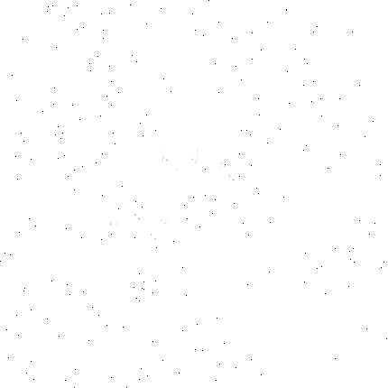 CSC(C)(C)c1cc(NC(=O)NCc2ccccc2Sc2ccc3nnc(-c4ccccc4O)n3c2)n(-c2ccc(F)cc2)n1